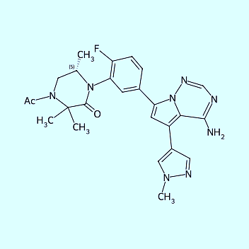 CC(=O)N1C[C@H](C)N(c2cc(-c3cc(-c4cnn(C)c4)c4c(N)ncnn34)ccc2F)C(=O)C1(C)C